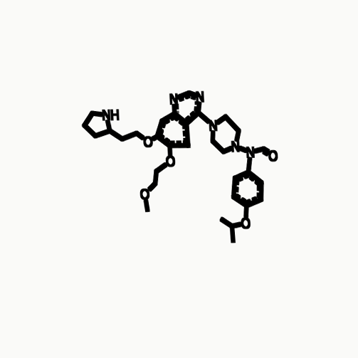 COCCOc1cc2c(N3CCN(N(C=O)c4ccc(OC(C)C)cc4)CC3)ncnc2cc1OCCC1CCCN1